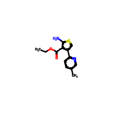 CCOC(=O)c1c(-c2ccc(C)cn2)csc1N